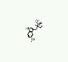 CCC(C)(Cc1c[nH]c2ccc(OC)cc12)[N+](=O)[O-]